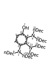 CCCCCCCCCCN(CCCCCCCCCC)c1ccc(O)c(N(CCCCCCCCCC)CCCCCCCCCC)c1N(CCCCCCCCCC)CCCCCCCCCC